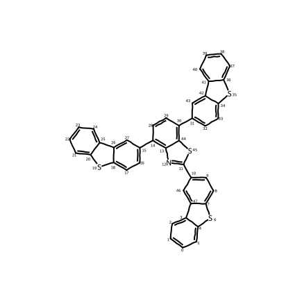 c1ccc2c(c1)sc1ccc(-c3nc4c(-c5ccc6sc7ccccc7c6c5)ccc(-c5ccc6sc7ccccc7c6c5)c4s3)cc12